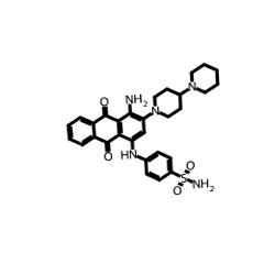 Nc1c(N2CCC(N3CCCCC3)CC2)cc(Nc2ccc(S(N)(=O)=O)cc2)c2c1C(=O)c1ccccc1C2=O